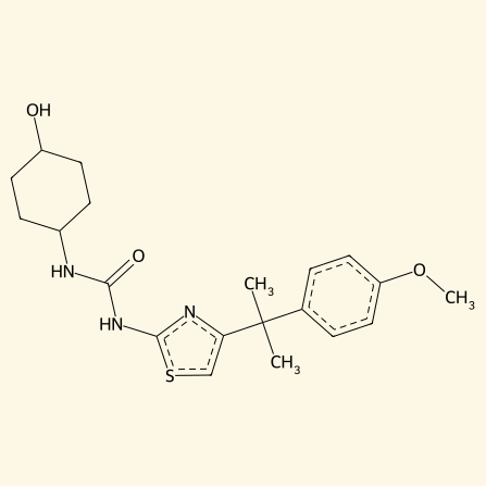 COc1ccc(C(C)(C)c2csc(NC(=O)NC3CCC(O)CC3)n2)cc1